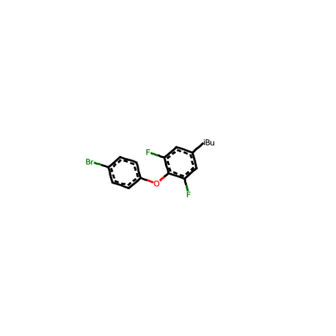 CCC(C)c1cc(F)c(Oc2ccc(Br)cc2)c(F)c1